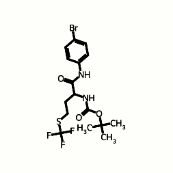 CC(C)(C)OC(=O)NC(CCSC(F)(F)F)C(=O)Nc1ccc(Br)cc1